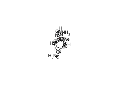 CO[C@H]1[C@H]2OP(=O)(S)OCc3nc4cc(C(N)=O)cnc4n3CCOP(=O)(S)OC[C@H]1O[C@H]2n1cnc2c(=O)[nH]c(N)nc21